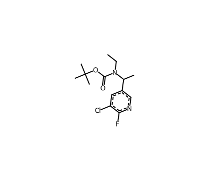 CCN(C(=O)OC(C)(C)C)C(C)c1cnc(F)c(Cl)c1